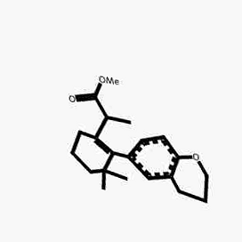 COC(=O)C(C)C1=C(c2ccc3c(c2)CCCO3)C(C)(C)CCC1